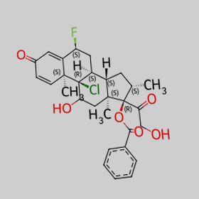 C[C@H]1C[C@H]2[C@@H]3C[C@H](F)C4=CC(=O)C=C[C@]4(C)[C@@]3(Cl)C(O)C[C@]2(C)[C@@]1(OC(=O)c1ccccc1)C(=O)CO